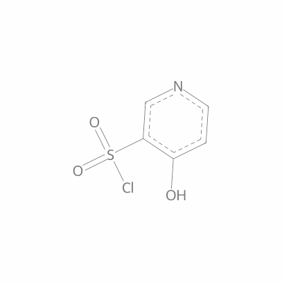 O=S(=O)(Cl)c1cnccc1O